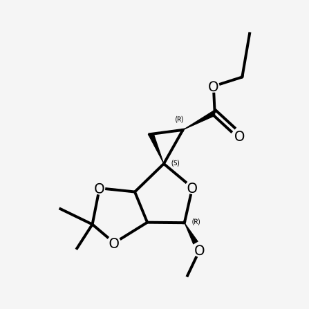 CCOC(=O)[C@@H]1C[C@]12O[C@@H](OC)C1OC(C)(C)OC12